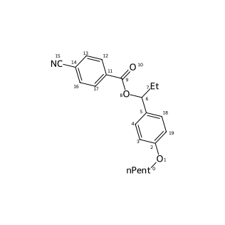 CCCCCOc1ccc(C(CC)OC(=O)c2ccc(C#N)cc2)cc1